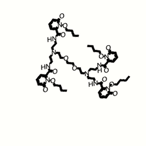 CCCCOn1c(C(=O)NCCN(CCNC(=O)c2cccc(=O)n2OCCCC)CCOCCOCCN(CCNC(=O)c2cccc(=O)n2OCCCC)CCNC(=O)c2cccc(=O)n2OCCCC)cccc1=O